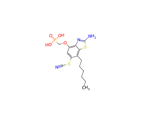 CCCCCCc1c(SC#N)cc(OCP(=O)(O)O)c2nc(N)sc12